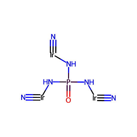 [N]#[Ir][NH]P(=O)([NH][Ir]#[N])[NH][Ir]#[N]